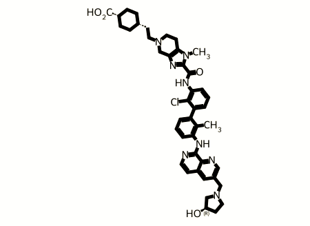 Cc1c(Nc2nccc3cc(CN4CC[C@@H](O)C4)cnc23)cccc1-c1cccc(NC(=O)c2nc3c(n2C)CCN(CC[C@H]2CC[C@@H](C(=O)O)CC2)C3)c1Cl